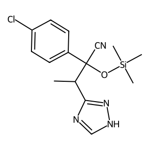 CC(c1nc[nH]n1)C(C#N)(O[Si](C)(C)C)c1ccc(Cl)cc1